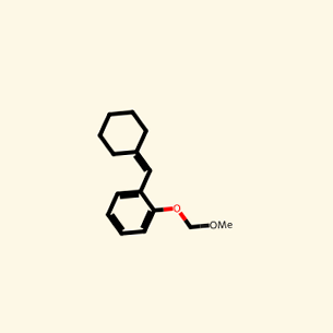 COCOc1ccccc1C=C1CCCCC1